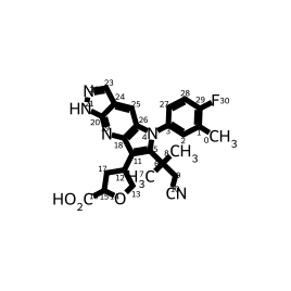 Cc1cc(-n2c(C(C)(C)CC#N)c(C3COC(C(=O)O)C3)c3nc4[nH]ncc4cc32)ccc1F